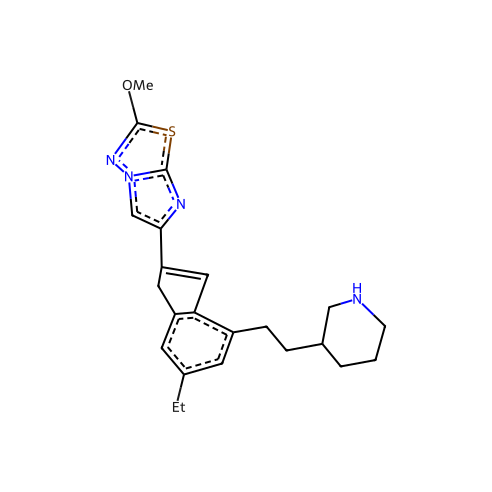 CCc1cc(CCC2CCCNC2)c2c(c1)CC(c1cn3nc(OC)sc3n1)=C2